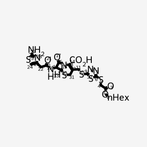 CCCCCCOC(=O)CSc1nnc(SCC2=C(C(=O)O)N3C(=O)C(NC(=O)Cc4csc(N)n4)[C@H]3SC2)s1